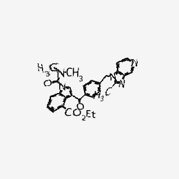 CCOC(=O)c1cccc2c1c(C(=O)c1ccc(Cn3c(C)nc4cnccc43)cc1)cn2C(=O)N(C)C